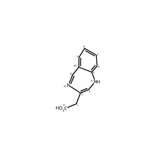 O=C(O)CC1=CNc2ccccc2C=N1